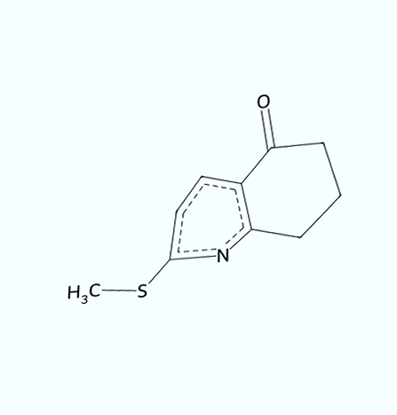 CSc1ccc2c(n1)CCCC2=O